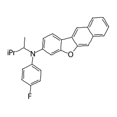 CC(C)C(C)N(c1ccc(F)cc1)c1ccc2c(c1)oc1cc3ccccc3cc12